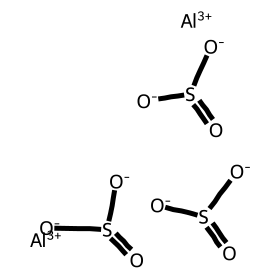 O=S([O-])[O-].O=S([O-])[O-].O=S([O-])[O-].[Al+3].[Al+3]